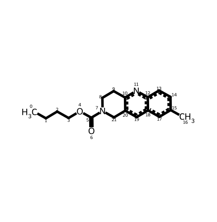 CCCCOC(=O)N1CCc2nc3ccc(C)cc3cc2C1